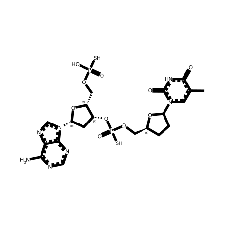 Cc1cn(C2CC[C@@H](COP(=O)(S)O[C@@H]3C[C@H](n4cnc5c(N)ncnc54)O[C@@H]3COP(=O)(O)S)O2)c(=O)[nH]c1=O